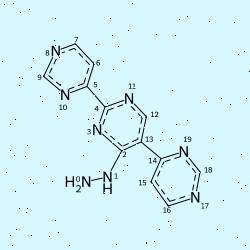 NNc1nc(-c2ccncn2)ncc1-c1ccncn1